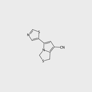 N#Cc1cc(-c2cncs2)n2c1CSC2